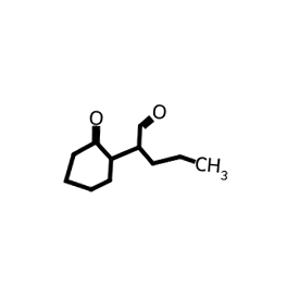 CCCC(C=O)C1CCCCC1=O